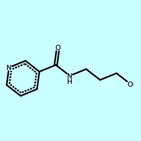 [O]CCCNC(=O)c1cccnc1